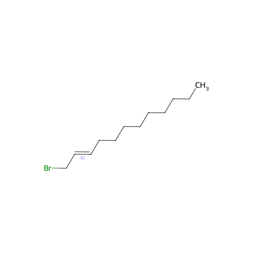 CCCCCCCCC/C=C/CBr